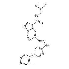 Cc1ccncc1-c1cnc2[nH]cc(-c3ccn4ncc(C(=O)NCC(F)F)c4c3)c2c1